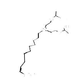 CCCCCCCC/C=C\CCCCCCCCN(CCOC(C)O)CCOC(C)O